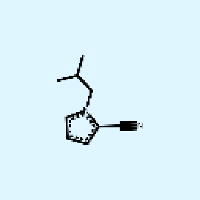 CC(C)Cn1cccc1C#N